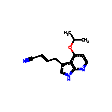 CC(C)Oc1ccnc2[nH]cc(C/C=C/C#N)c12